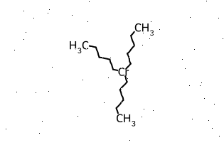 CCCC[CH2][Cr]([CH2]CCCC)[CH2]CCCC